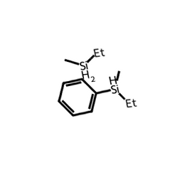 CC[SiH2]C.CC[SiH](C)c1ccccc1